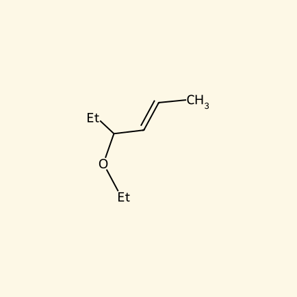 [CH2]COC(C=CC)CC